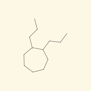 CCC[C]1CCCCCC1CCC